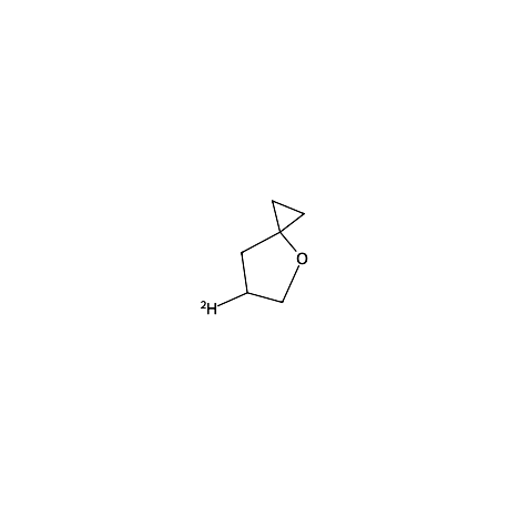 [2H]C1COC2(CC2)C1